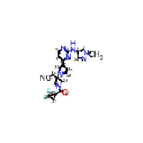 Cn1cc(Nc2nccc(-c3ccn(C4(CC#N)CN(C(=O)C5CC5(F)F)C4)c3)n2)cn1